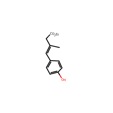 CCOC(=O)C/C(C)=C/c1ccc(O)cc1